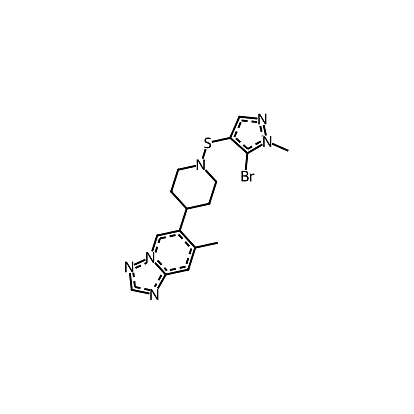 Cc1cc2ncnn2cc1C1CCN(Sc2cnn(C)c2Br)CC1